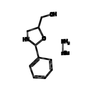 CCCCN.OCC1CNC(c2ccccc2)O1